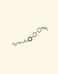 C=C[C@H]1CC[C@H](C2CCC(c3ccc(COCCC=CC)cc3)CC2)CC1